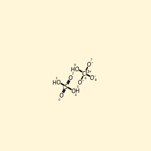 O=S(=O)(O)O.[O-][Cl+3]([O-])([O-])O